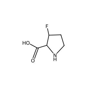 O=C(O)C1NCCC1F